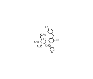 CCc1ccc(Cc2cc([C@@H]3O[C@H](COC(C)=O)[C@@H](OC(C)=O)[C@H](OC(C)=O)[C@H]3OC(C)=O)c(O[C@@H]3CCOC3)cc2C#N)cc1